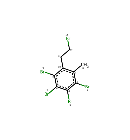 Cc1c(Br)c(Br)c(Br)c(Br)c1CCBr